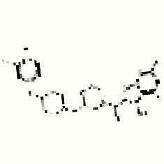 Cc1cc(C)c2c(N)c(C(=O)N3CCOC(CN4CCC(Oc5ccc(Cl)c(Cl)c5)CC4)C3)sc2n1